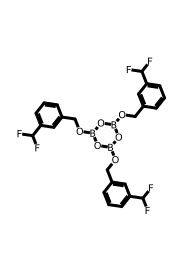 FC(F)c1cccc(COB2OB(OCc3cccc(C(F)F)c3)OB(OCc3cccc(C(F)F)c3)O2)c1